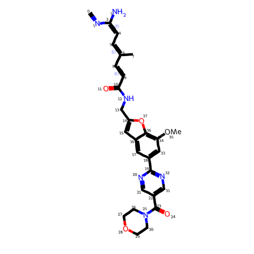 C=N\C(N)=C/C=C(C)/C=C/C(=O)NCc1cc2cc(-c3ncc(C(=O)N4CCOCC4)cn3)cc(OC)c2o1